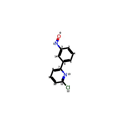 O=Nc1cccc(-c2cccc(Cl)n2)c1